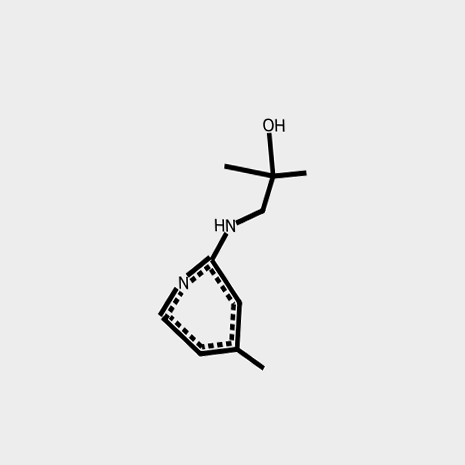 Cc1ccnc(NCC(C)(C)O)c1